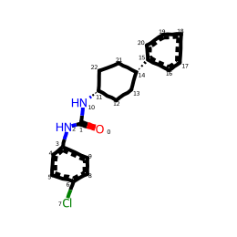 O=C(Nc1ccc(Cl)cc1)N[C@H]1CC[C@@H](c2ccccc2)CC1